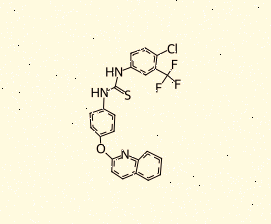 FC(F)(F)c1cc(NC(=S)Nc2ccc(Oc3ccc4ccccc4n3)cc2)ccc1Cl